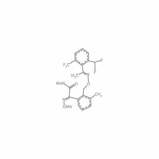 CNC(=O)/C(=N/OC)c1cccc(C)c1CO/N=C(\C)c1c(C(F)F)cccc1C(F)(F)F